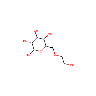 OCCOC[C@H]1OC(O)[C@H](O)[C@@H](O)[C@H]1O